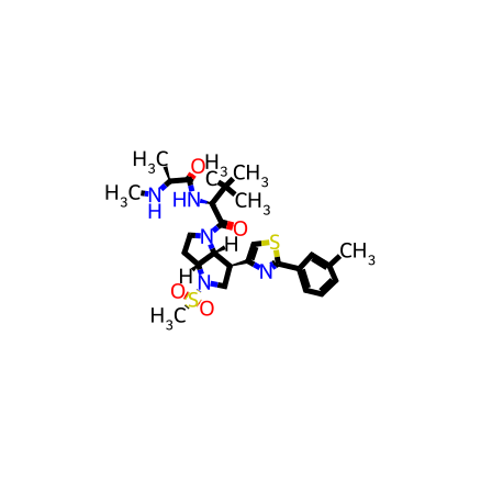 CN[C@@H](C)C(=O)N[C@H](C(=O)N1CC[C@@H]2[C@H]1[C@@H](c1csc(-c3cccc(C)c3)n1)CN2S(C)(=O)=O)C(C)(C)C